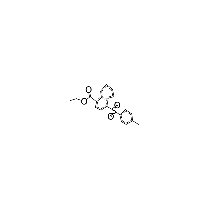 CCOC(=O)c1ccc(S(=O)(=O)c2ccc(C)cc2)c2ccccc12